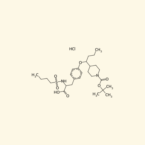 CCCCS(=O)(=O)NC(Cc1ccc(OC(CCC)C2CCN(C(=O)OC(C)(C)C)CC2)cc1)C(=O)O.Cl